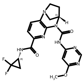 COc1cc(NC(=O)N2c3nc(C(=O)N[C@@H]4CC4(F)F)ccc3N3CC[C@H]2C3)ncn1